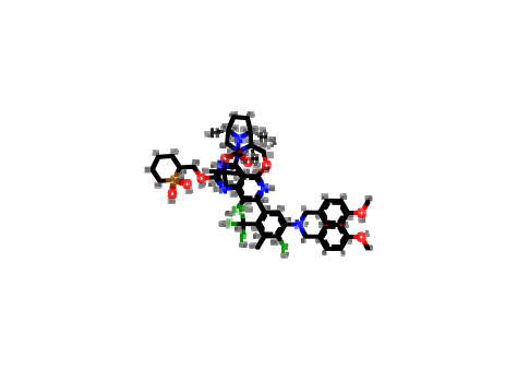 COc1ccc(CN(Cc2ccc(OC)cc2)c2cc(-c3nc4c5c(nc(OCC6CCCCS6(=O)=O)nc5c3F)N3C[C@H]5CC[C@@H]([C@H]3[C@H](C)O4)N5C(=O)OC(C)(C)C)c(C(F)(F)F)c(C)c2F)cc1